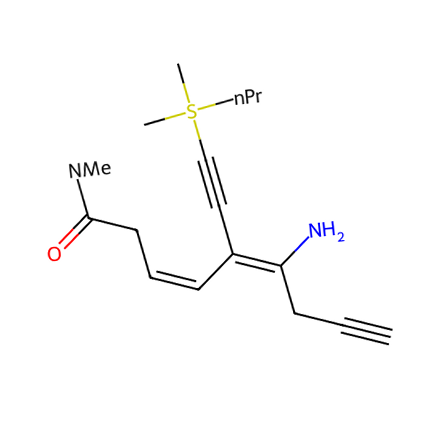 C#CC/C(N)=C(C#CS(C)(C)CCC)\C=C/CC(=O)NC